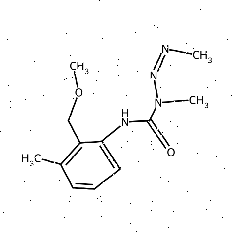 C/N=N\N(C)C(=O)Nc1cccc(C)c1COC